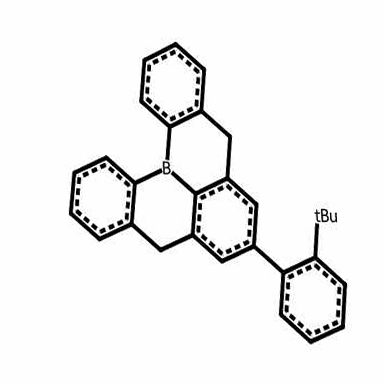 CC(C)(C)c1ccccc1-c1cc2c3c(c1)Cc1ccccc1B3c1ccccc1C2